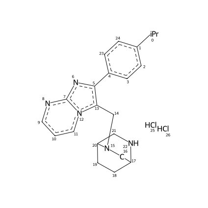 CC(C)c1ccc(-c2nc3ncccn3c2CN2CC3CCC2CN3)cc1.Cl.Cl